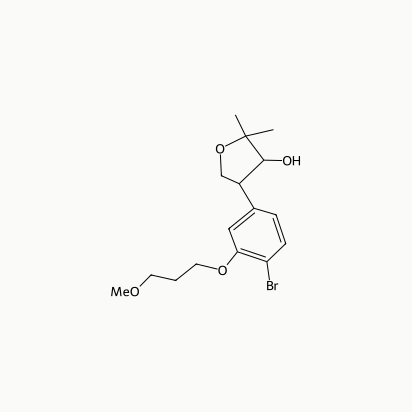 COCCCOc1cc(C2COC(C)(C)C2O)ccc1Br